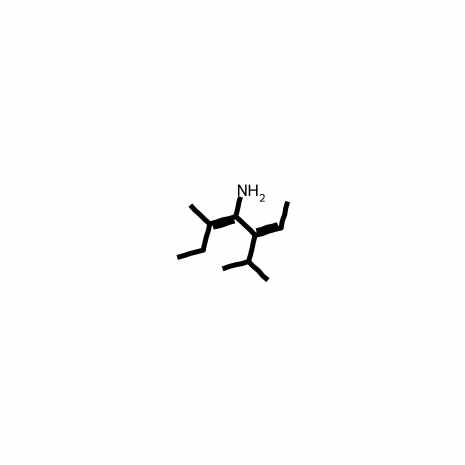 C/C=C(\C(N)=C(\C)CC)C(C)C